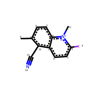 Cc1ccc2c(ccc(I)[n+]2C)c1C#N